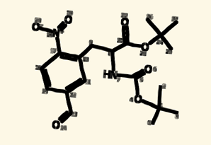 CC(C)(C)OC(=O)NC(Cc1cc(C=O)ccc1[N+](=O)[O-])C(=O)OC(C)(C)C